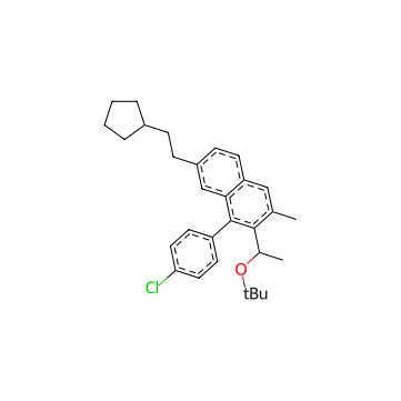 Cc1cc2ccc(CCC3CCCC3)cc2c(-c2ccc(Cl)cc2)c1C(C)OC(C)(C)C